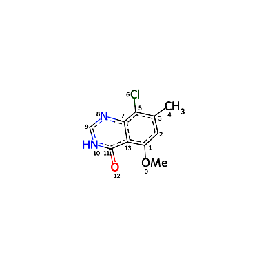 COc1cc(C)c(Cl)c2nc[nH]c(=O)c12